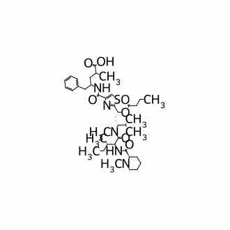 CCCC(=O)O[C@H](C[C@H](C(C)C)N(C)C(=O)[C@@H](NC(=O)[C@H]1CCCCN1C)[C@@H](C)CC)c1nc(C(=O)NC(Cc2ccccc2)CC(C)C(=O)O)cs1